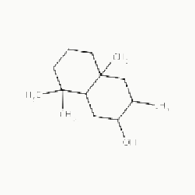 CC1CC2(C)CCCC(C)(C)C2CC1O